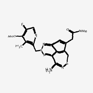 CNC(=O)Cc1cc2nn(Cc3ncc(F)c(OC)c3C)nc3c-2c1CSN=C3N